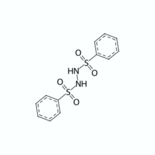 O=S(=O)(NNS(=O)(=O)c1ccccc1)c1ccccc1